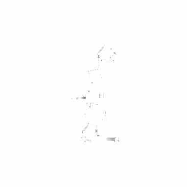 CC(C)(C(=O)N1CCOc2c(C#N)cncc2C1)C1CC(n2ccnn2)C1